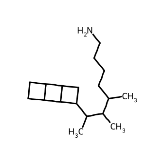 CC(CCCCN)C(C)C(C)C1CC2C3CCC3C12